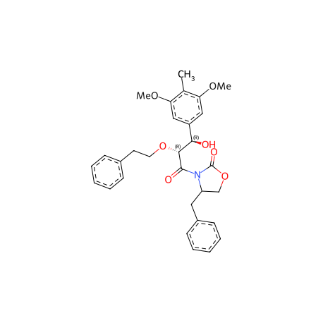 COc1cc([C@@H](O)[C@@H](OCCc2ccccc2)C(=O)N2C(=O)OCC2Cc2ccccc2)cc(OC)c1C